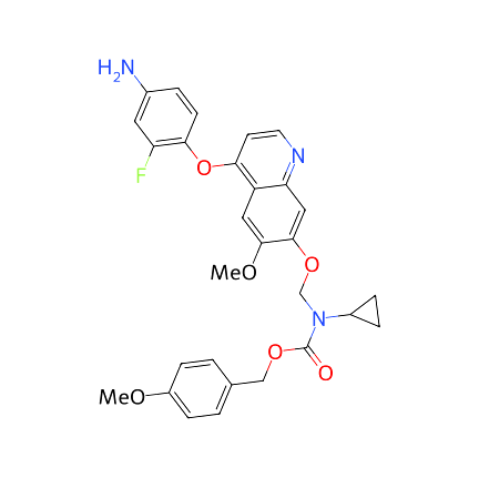 COc1ccc(COC(=O)N(COc2cc3nccc(Oc4ccc(N)cc4F)c3cc2OC)C2CC2)cc1